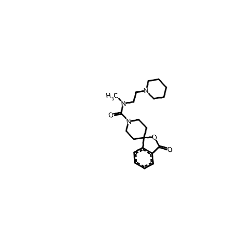 CN(CCN1CCCCC1)C(=O)N1CCC2(CC1)OC(=O)c1ccccc12